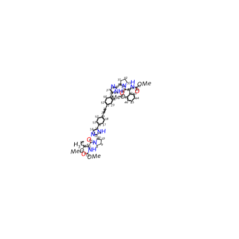 COC(=O)N[C@H](C(=O)N1CCC[C@H]1c1ncc(-c2ccc(C#Cc3ccc(-c4cnc([C@@H]5CCCN5C(=O)[C@H](NC(=O)OC)c5ccccc5OC)[nH]4)cc3)cc2)[nH]1)[C@@H](C)OC